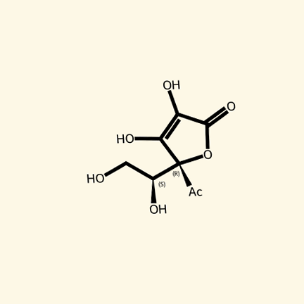 CC(=O)[C@]1([C@@H](O)CO)OC(=O)C(O)=C1O